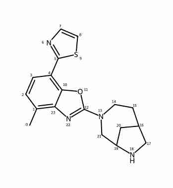 Cc1ccc(-c2nccs2)c2oc(N3CCC4CNC(C4)C3)nc12